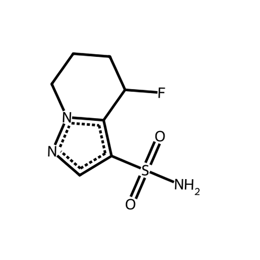 NS(=O)(=O)c1cnn2c1C(F)CCC2